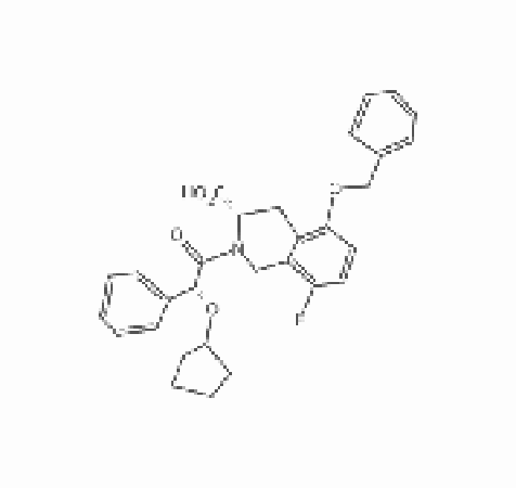 O=C(O)[C@@H]1Cc2c(OCc3ccccc3)ccc(F)c2CN1C(=O)[C@H](OC1CCCC1)c1ccccc1